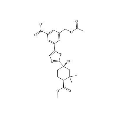 COC(=O)[C@H]1CC[C@](O)(c2ncc(-c3cc(COC(C)=O)cc([N+](=O)[O-])c3)s2)CC1(C)C